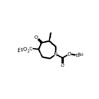 CCOC(=O)C1CCN(C(=O)OC(C)(C)C)CC(C)C1=O